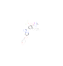 COc1cc(-c2cnc3cc(OCC4CCOCC4)ccn23)cc(OC(F)F)c1C(=O)NC1CC1